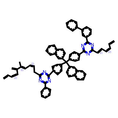 C=C/C=C\C=C\c1nc(-c2ccc(C(c3ccc(-c4nc(C/C=C\C=C(/C)C(=C)/C=C\C=C)nc(-c5ccccc5)n4)cc3)(c3ccc4ccccc4c3)c3ccc4ccccc4c3)cc2)nc(-c2cccc(-c3ccccc3)c2)n1